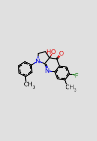 Cc1cccc(N2CCC3(O)C(=O)c4cc(F)c(C)cc4N=C23)c1